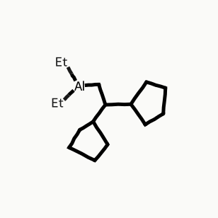 C[CH2][Al]([CH2]C)[CH2]C(C1CCCC1)C1CCCC1